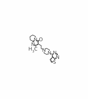 Cc1nc2n(c(=O)c1CCN1CCN(c3ncnc4sccc34)CC1)CCCC2